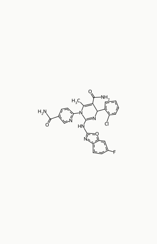 CC1=C(C(N)=O)C(c2ccccc2Cl)N=C(Nc2nc3ccc(F)cc3o2)N1c1ccc(C(N)=O)cn1